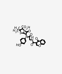 CC1(C)SC2C(N(C(=O)CNC(=O)c3coc4ccccc4c3=O)c3ccc(O)cc3)C(=O)N2C1C(=O)O